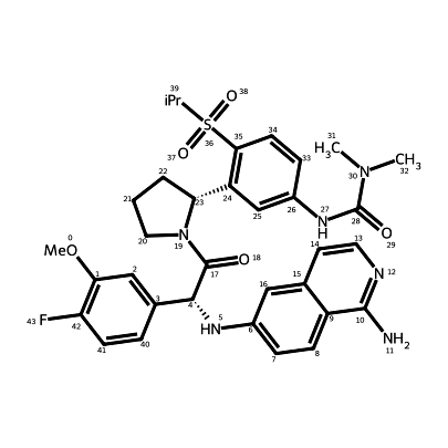 COc1cc([C@@H](Nc2ccc3c(N)nccc3c2)C(=O)N2CCC[C@@H]2c2cc(NC(=O)N(C)C)ccc2S(=O)(=O)C(C)C)ccc1F